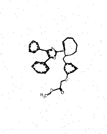 CCOC(=O)COc1cccc(CC2CCCCCC=C2c2nc(-c3ccccc3)c(-c3ccccc3)o2)c1